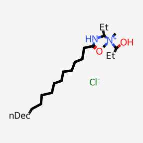 CCCCCCCCCCCCCCCCCCCCCC(=O)NC(CC)[N+](C)(C)C(O)CC.[Cl-]